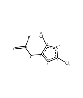 C=C(F)Cc1cc(Cl)sc1Cl